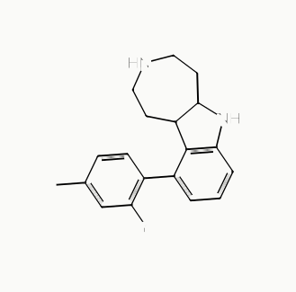 Cc1ccc(-c2cccc3c2C2CCNCCC2N3)c(Cl)c1